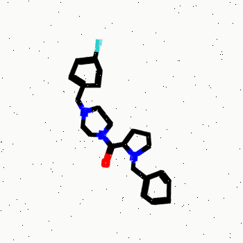 O=C(C1CCCN1Cc1ccccc1)N1CCN(Cc2ccc(F)cc2)CC1